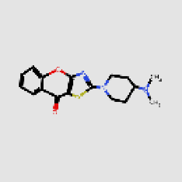 CN(C)C1CCN(c2nc3oc4ccccc4c(=O)c3s2)CC1